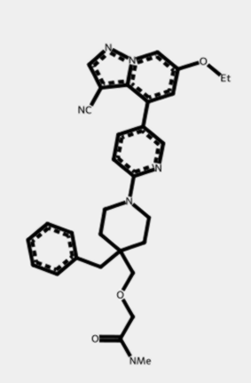 CCOc1cc(-c2ccc(N3CCC(COCC(=O)NC)(Cc4ccccc4)CC3)nc2)c2c(C#N)cnn2c1